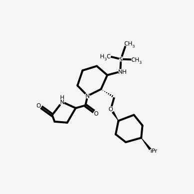 CC(C)[C@H]1CC[C@@H](OC[C@H]2C(NS(C)(C)C)CCCN2C(=O)C2CCC(=O)N2)CC1